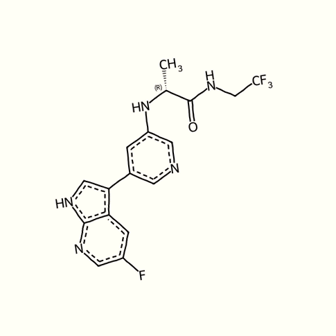 C[C@@H](Nc1cncc(-c2c[nH]c3ncc(F)cc23)c1)C(=O)NCC(F)(F)F